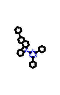 c1ccc(-c2ccc3c(ccc4c3c3ccccc3n4-c3nc(-c4ccccc4)nc(-c4ccccc4)n3)c2)cc1